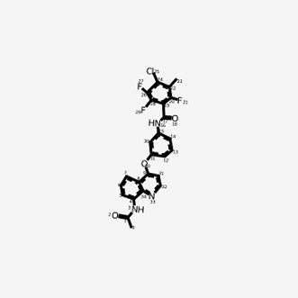 CC(=O)Nc1cccc2c(Oc3cccc(NC(=O)c4c(F)c(C)c(Cl)c(F)c4F)c3)ccnc12